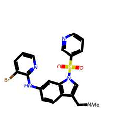 CNCc1cn(S(=O)(=O)c2cccnc2)c2cc(Nc3ncccc3Br)ccc12